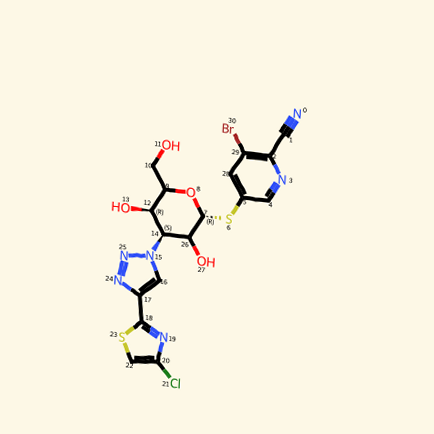 N#Cc1ncc(S[C@H]2OC(CO)[C@H](O)[C@H](n3cc(-c4nc(Cl)cs4)nn3)C2O)cc1Br